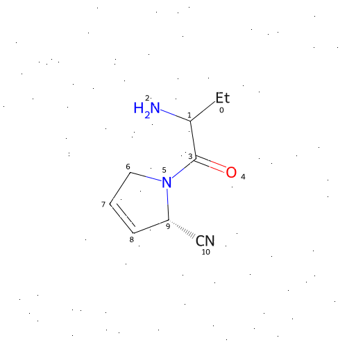 CCC(N)C(=O)N1CC=C[C@H]1C#N